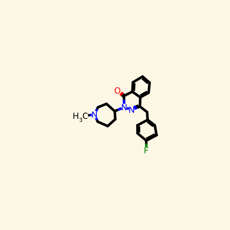 CN1CCCC(n2nc(Cc3ccc(F)cc3)c3ccccc3c2=O)CC1